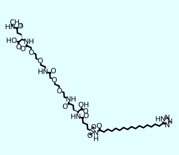 CNC(=O)CC[C@H](NC(=O)COCCOCCNC(=O)COCCOCCNC(=O)CC[C@H](NC(=O)CCCS(=O)(=O)NC(=O)CCCCCCCCCCCCCCCc1nnn[nH]1)C(=O)O)C(=O)O